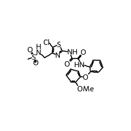 COc1ccccc1Oc1ccccc1NC(=O)C(=O)Nc1nc(CNS(C)(=O)=O)c(Cl)s1